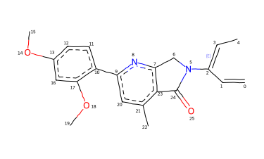 C=C/C(=C\C)N1Cc2nc(-c3ccc(OC)cc3OC)cc(C)c2C1=O